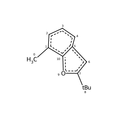 Cc1cccc2cc(C(C)(C)C)oc12